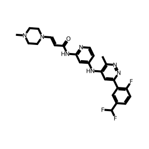 Cc1nnc(-c2cc(C(F)F)ccc2F)cc1Nc1ccnc(NC(=O)C=CN2CCN(C)CC2)c1